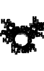 CC[C@H]1OC(=O)[C@H](C)[C@@H](O[C@H]2C[C@@](C)(OC)[C@@H](O)[C@H](C)O2)[C@H](C)[C@@H](O[C@@H]2O[C@H](C)C[C@H](N(C)C)[C@H]2O)C(C)(O)C[C@@H](C)CN[C@H](C)[C@@H](O)[C@]1(C)O